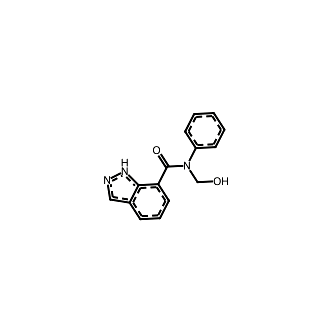 O=C(c1cccc2cn[nH]c12)N(CO)c1ccccc1